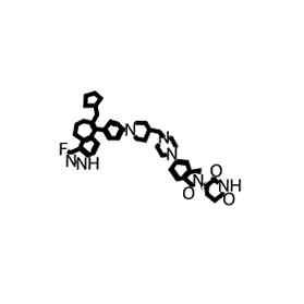 O=C1CC[C@H](N2Cc3cc(N4CCN(CC5CCN(c6ccc(C7=C(CC8CCCC8)CCCc8c7ccc7[nH]nc(F)c87)cc6)CC5)CC4)ccc3C2=O)C(=O)N1